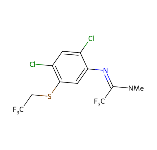 CN/C(=N/c1cc(SCC(F)(F)F)c(Cl)cc1Cl)C(F)(F)F